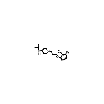 CC(=O)NC1CCN(CCCOc2cccc(Br)c2Cl)CC1